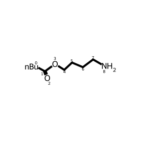 CCCCC(=O)OCCCCN